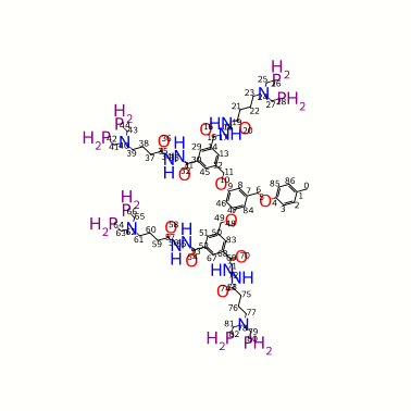 Cc1ccc(OCc2cc(OCc3cc(C(=O)NNC(=O)CCCN(CP)CP)cc(C(=O)NNC(=O)CCCN(CP)CP)c3)cc(OCc3cc(C(=O)NNC(=O)CCCN(CP)CP)cc(C(=O)NNC(=O)CCCN(CP)CP)c3)c2)cc1